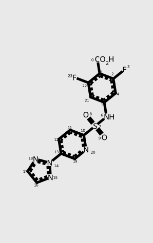 O=C(O)c1c(F)cc(NS(=O)(=O)c2ccc(-n3nccn3)cn2)cc1F